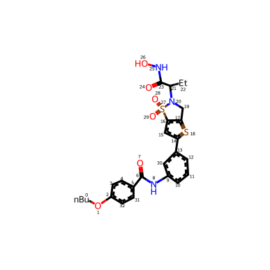 CCCCOc1ccc(C(=O)Nc2cccc(-c3cc4c(s3)CN(C(CC)C(=O)NO)S4(=O)=O)c2)cc1